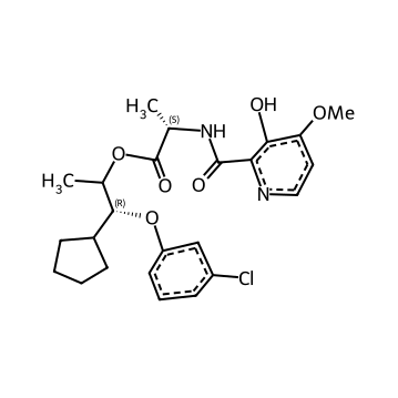 COc1ccnc(C(=O)N[C@@H](C)C(=O)OC(C)[C@H](Oc2cccc(Cl)c2)C2CCCC2)c1O